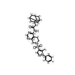 Cc1c(S(=O)(=O)N2CCc3c(ncnc3NC(=O)CC34CC5CC(CC(C5)C3)C4)C2)cnn1-c1ccccc1